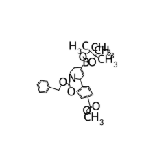 COC(=O)c1ccc([C@@H]2C=C(B3OC(C)(C)C(C)(C)O3)CCN2C(=O)OCc2ccccc2)cc1